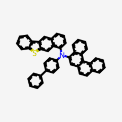 c1ccc(-c2ccc(N(c3cccc4cc5c(cc34)sc3ccccc35)c3cc4ccc5ccccc5c4c4ccccc34)cc2)cc1